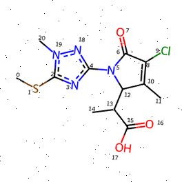 CSc1nc(N2C(=O)C(Cl)=C(C)C2C(C)C(=O)O)nn1C